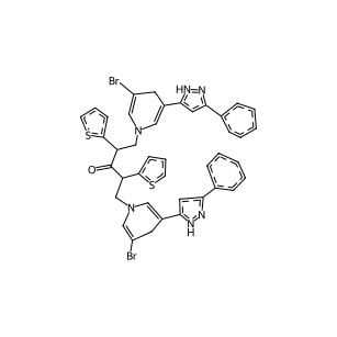 O=C(C(CN1C=C(Br)CC(c2cc(-c3ccccc3)n[nH]2)=C1)c1cccs1)C(CN1C=C(Br)CC(c2cc(-c3ccccc3)n[nH]2)=C1)c1cccs1